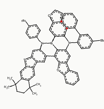 CC(C)(C)c1ccc(N2B3c4cc5occc5cc4N(c4ccc(C(C)(C)C)cc4-c4ccccc4)c4cc5c(oc6ccccc65)c(c43)-c3cc4c(cc32)sc2cc3c(cc24)C(C)(C)CCC3(C)C)cc1